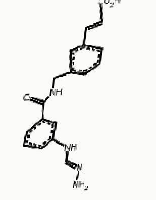 NN=CNc1cccc(C(=O)NCc2cccc(C=CC(=O)O)c2)c1